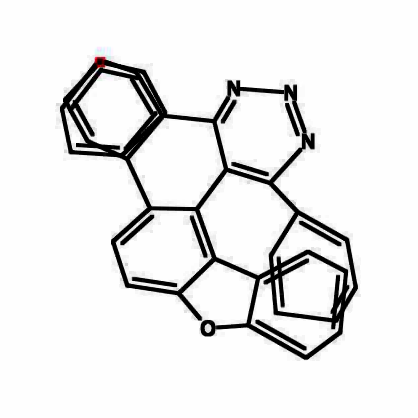 c1ccc(-c2ccc3oc4ccccc4c3c2-c2c(-c3ccccc3)nnnc2-c2ccccc2)cc1